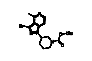 Cc1nccc2c1c(Br)nn2C1CCCN(C(=O)OC(C)(C)C)C1